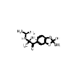 BC(B)N[C@@](B)(C)C(=O)c1ccc2c(c1)OC(B)(O)O2